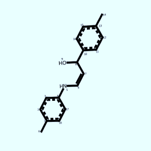 Cc1ccc(N/C=C\C(O)c2ccc(C)cc2)cc1